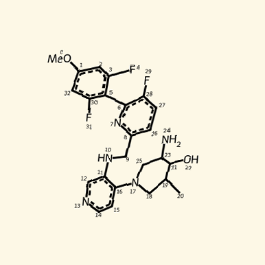 COc1cc(F)c(-c2nc(CNc3cnccc3N3CC(C)C(O)C(N)C3)ccc2F)c(F)c1